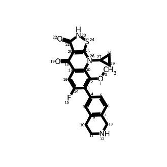 COc1c(-c2ccc3c(c2)CCNC3)c(F)cc2c(=O)c3c(=O)[nH]sc3n(C3CC3)c12